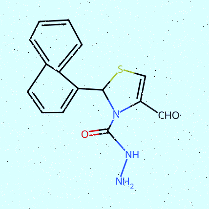 NNC(=O)N1C([C]=O)=CSC1c1cccc2ccccc12